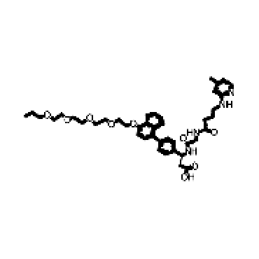 CCCOCCOCCOCCOCCOc1ccc(-c2ccc([C@H](CC(=O)O)NC(=O)CNC(=O)CCCNc3cc(C)ccn3)cc2)c2ccccc12